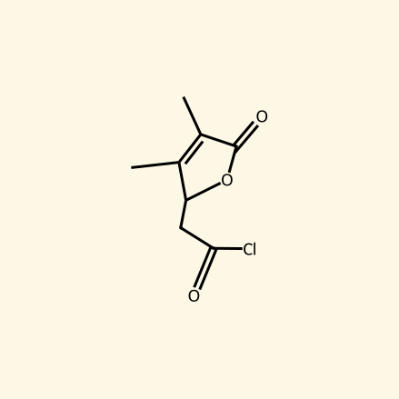 CC1=C(C)C(CC(=O)Cl)OC1=O